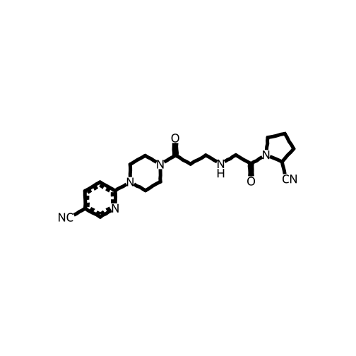 N#Cc1ccc(N2CCN(C(=O)CCNCC(=O)N3CCCC3C#N)CC2)nc1